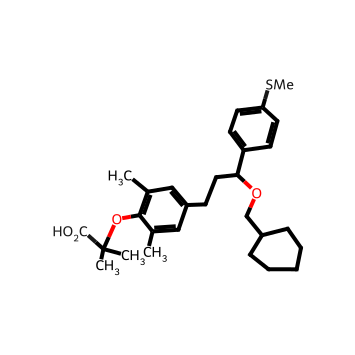 CSc1ccc(C(CCc2cc(C)c(OC(C)(C)C(=O)O)c(C)c2)OCC2CCCCC2)cc1